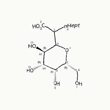 CCCCCCCC(C(=O)O)C1O[C@H](CO)[C@H](O)[C@H](O)[C@H]1O